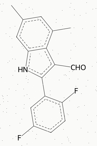 Cc1cc(C)c2c(C=O)c(-c3cc(F)ccc3F)[nH]c2c1